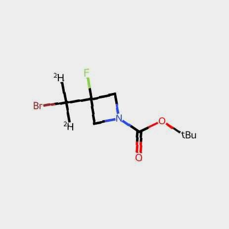 [2H]C([2H])(Br)C1(F)CN(C(=O)OC(C)(C)C)C1